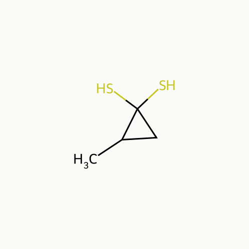 CC1CC1(S)S